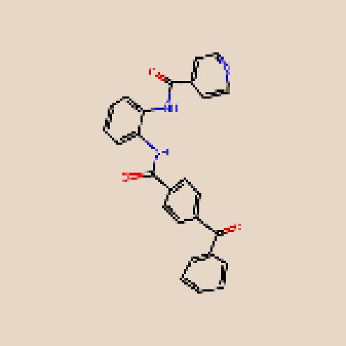 O=C(Nc1ccccc1NC(=O)c1ccc(C(=O)c2ccccc2)cc1)c1ccncc1